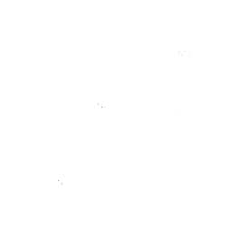 COc1ccccc1OC1CN(C2CCCC(ON)C2)C1